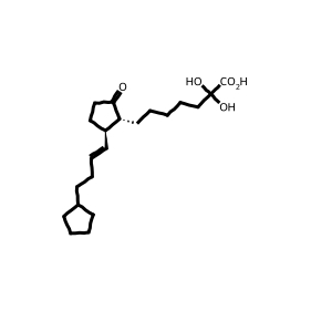 O=C1CC[C@H](/C=C/CCC2CCCC2)[C@H]1CCCCCC(O)(O)C(=O)O